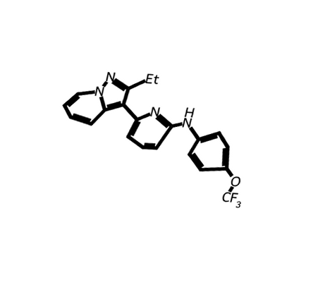 CCc1nn2ccccc2c1-c1cccc(Nc2ccc(OC(F)(F)F)cc2)n1